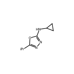 CC(C)c1nnc(NC2CC2)o1